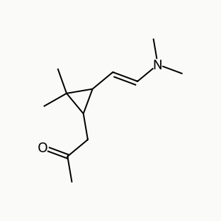 CC(=O)CC1C(C=CN(C)C)C1(C)C